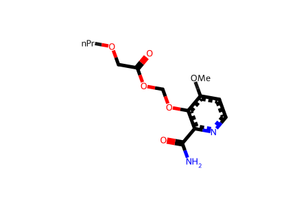 CCCOCC(=O)OCOc1c(OC)ccnc1C(N)=O